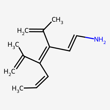 C=C(C)C(/C=C\C)=C(/C=C/N)C(=C)C